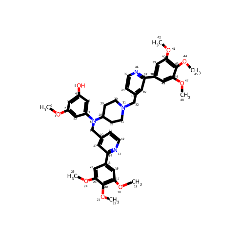 COc1cc(O)cc(N(Cc2ccnc(-c3cc(OC)c(OC)c(OC)c3)c2)C2CCN(Cc3ccnc(-c4cc(OC)c(OC)c(OC)c4)c3)CC2)c1